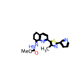 COC(=O)N/N=C1\CCCc2ccc(-c3sc(-c4cccnc4)nc3C)nc21